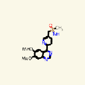 COc1cc2ncnc(-c3ccc(CS(C)(=N)=O)cn3)c2cc1OC